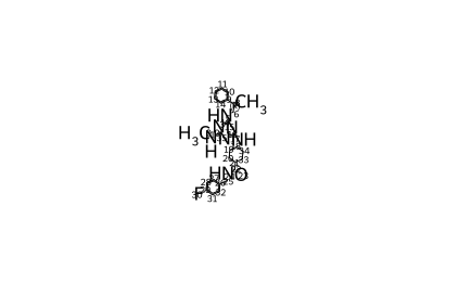 CNc1nc(NC[C@H](C)c2ccccc2)nc(NC2CCC(C(=O)NCc3ccc(F)cc3)CC2)n1